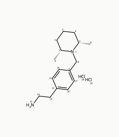 C[C@@H]1CCC[C@H](C)N1Cc1ccc(CCN)cc1.Cl.Cl